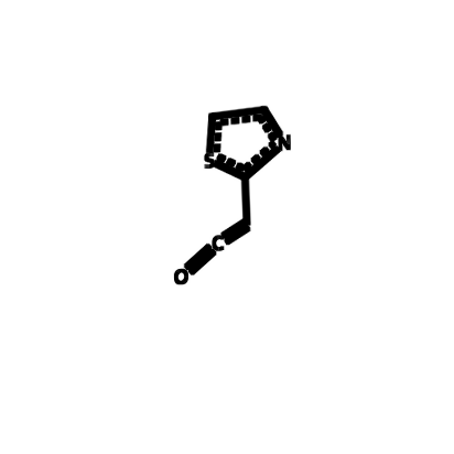 O=C=Cc1nccs1